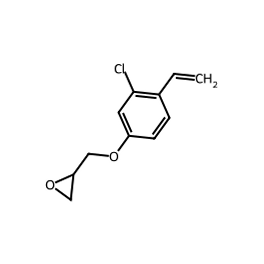 C=Cc1ccc(OCC2CO2)cc1Cl